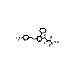 CCCC[C@H](F)[C@@H](F)C(=O)Nc1ccc(CCc2ccc(C(F)(F)F)cc2)cc1C1CCCCC1